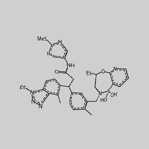 CCC1CN(Cc2cc(C(CC(=O)Nc3cnc(SC)nc3)c3ccc4c(nnn4CC)c3C)ccc2C)S(O)(O)c2cccnc2O1